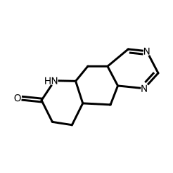 O=C1CCC2CC3N=CN=CC3CC2N1